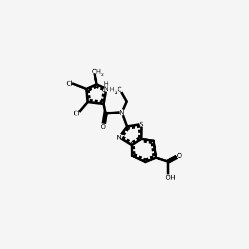 CCN(C(=O)c1[nH]c(C)c(Cl)c1Cl)c1nc2ccc(C(=O)O)cc2s1